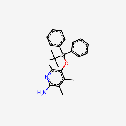 Cc1nc(N)c(C)c(C)c1O[Si](c1ccccc1)(c1ccccc1)C(C)(C)C